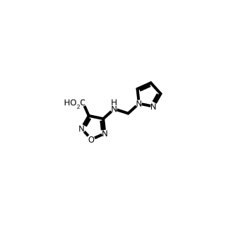 O=C(O)c1nonc1NCn1cccn1